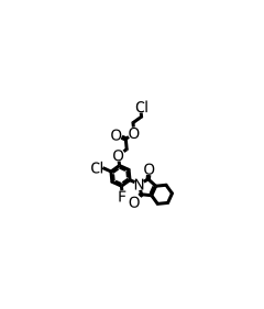 O=C(COc1cc(N2C(=O)C3=C(CCCC3)C2=O)c(F)cc1Cl)OCCCl